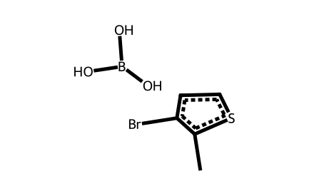 Cc1sccc1Br.OB(O)O